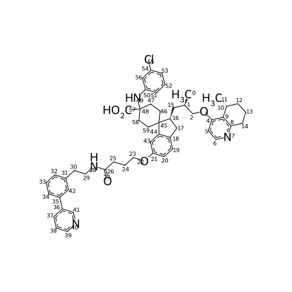 C[C@@H](COc1ccnc2c1[C@H](C)CCC2)C[C@H]1Cc2ccc(OCCCC(=O)NCCc3cccc(-c4cccnc4)c3)cc2C12CCC(Nc1cccc(Cl)c1)(C(=O)O)CC2